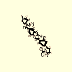 CN1CCC(NC(=O)c2ccc3c(c2)sc2nc(-c4ccc([C@@H]5CCCN5C(=O)O)cc4F)cn23)CC1